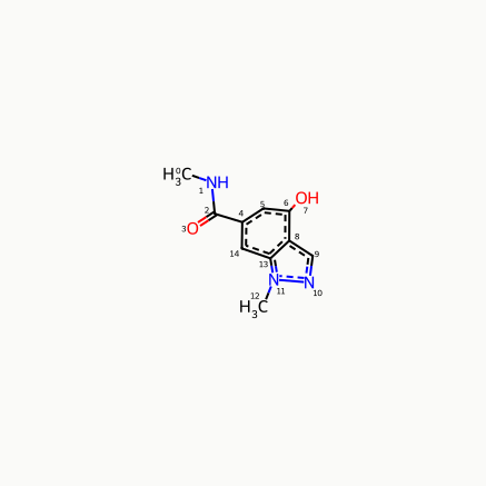 CNC(=O)c1cc(O)c2cnn(C)c2c1